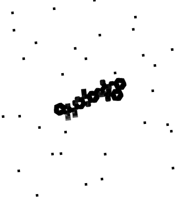 O=C(CC1Oc2ccc(C[C@H](NS(=O)(=O)c3ccccc3)C(=O)OCc3ccccc3)cc2NC1=O)Nc1nc2ccccc2[nH]1